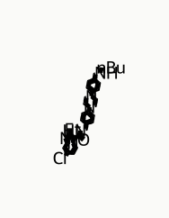 CCCCNCc1ccc(N2CCN(c3ccc(CNC(=O)c4c(CC)nc5cc(Cl)ccn45)cc3)CC2)cc1